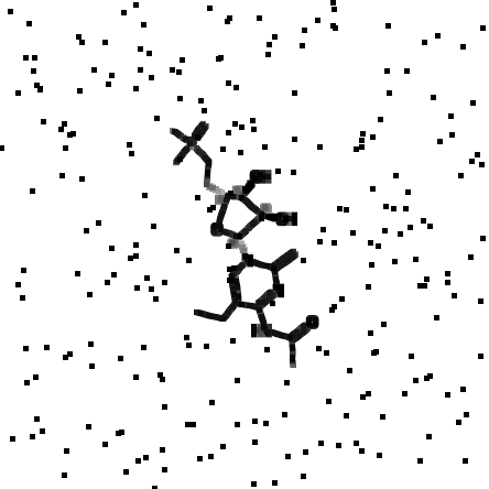 C=C1N=C(NC(C)=O)C(CC)=CN1[C@@H]1O[C@H](CCP(=C)(C)C)[C@@H](O)[C@H]1O